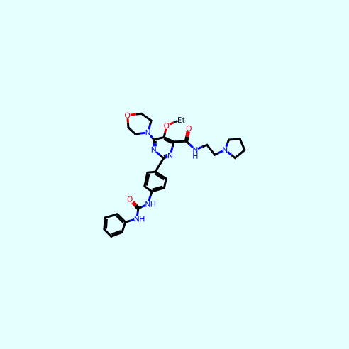 CCOc1c(C(=O)NCCN2CCCC2)nc(-c2ccc(NC(=O)Nc3ccccc3)cc2)nc1N1CCOCC1